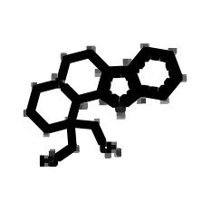 CCC1(CO)CCCN2CCc3c(oc4ccccc34)C21